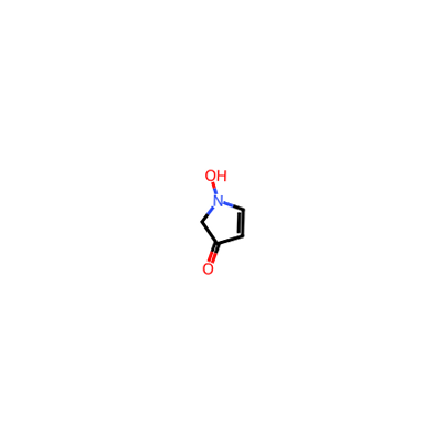 O=C1C=CN(O)C1